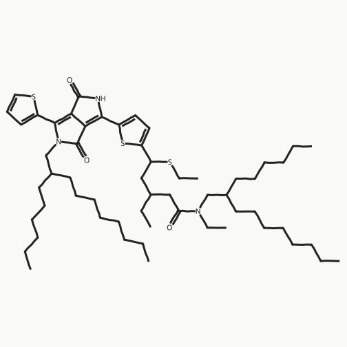 CCCCCCCCC(CCCCCC)CN(CC)C(=O)CC(CC)CC(SCC)c1ccc(C2=C3C(=O)N(CC(CCCCCC)CCCCCCCC)C(c4cccs4)=C3C(=O)N2)s1